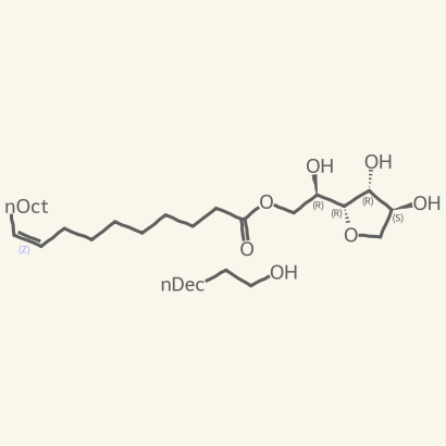 CCCCCCCC/C=C\CCCCCCCC(=O)OC[C@@H](O)[C@H]1OC[C@H](O)[C@H]1O.CCCCCCCCCCCCO